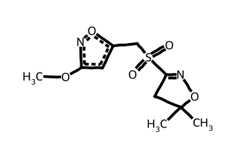 COc1cc(CS(=O)(=O)C2=NOC(C)(C)C2)on1